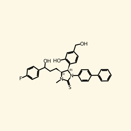 CN1C(=S)N(c2ccc(-c3ccccc3)cc2)[C@H](c2ccc(CO)cc2O)[C@@H]1CCC(O)c1ccc(F)cc1